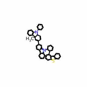 CC12C=C(c3ccc4c5ccccc5n(-c5ccccc5-c5cccc6sc7ccccc7c56)c4c3)C=CC1N(c1ccccc1)c1ccccc12